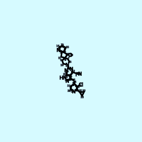 N#Cc1nc(N2CCC3(CC2)Cc2ncccc2C3=O)nc2[nH]nc(Sc3ccnc(C4CC4)c3Cl)c12